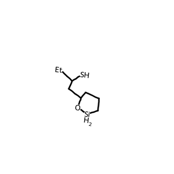 CCC(S)CC1CCC[SiH2]O1